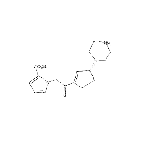 CCOC(=O)c1cccn1CC(=O)C1=C[C@H](N2CCNCC2)CC1